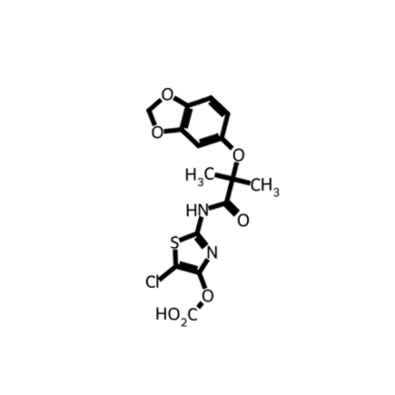 CC(C)(Oc1ccc2c(c1)OCO2)C(=O)Nc1nc(OC(=O)O)c(Cl)s1